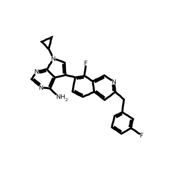 Nc1ncnc2c1c(-c1ccc3cc(Cc4cccc(F)c4)ncc3c1F)cn2C1CC1